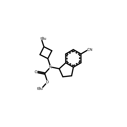 CC(C)(C)OC(=O)N(C1CC(C(C)(C)C)C1)C1CCc2cc(C#N)ccc21